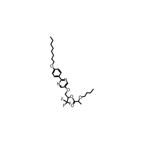 CCCCCCCCOc1ccc(-c2ncc(OCC(OC(=O)C(C)OCCCC)C(F)(F)F)cn2)cc1